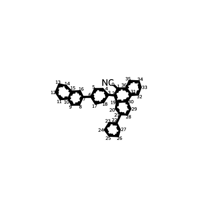 N#Cc1c(-c2ccc(-c3ccc4ccccc4c3)cc2)c2cc(-c3ccccc3)ccc2c2ccccc12